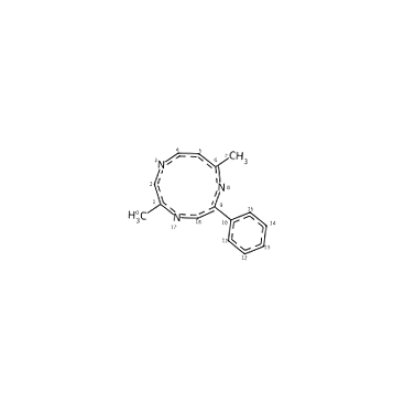 Cc1cnccc(C)nc(-c2ccccc2)cn1